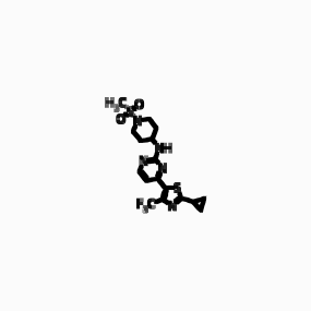 CS(=O)(=O)N1CCC(Nc2nccc(-c3sc(C4CC4)nc3C(F)(F)F)n2)CC1